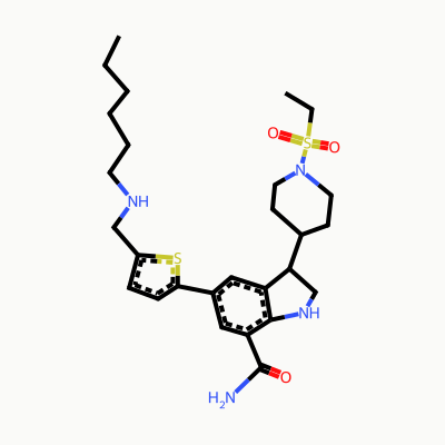 CCCCCCNCc1ccc(-c2cc(C(N)=O)c3c(c2)C(C2CCN(S(=O)(=O)CC)CC2)CN3)s1